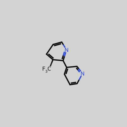 FC(F)(F)c1cccnc1-c1cccnc1